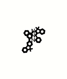 CC1(C)c2ccccc2-c2cc3c4ccccc4n(-c4ccccc4-c4nc(-c5ccccc5)nc5c4-c4ccccc4C5(C)C)c3cc21